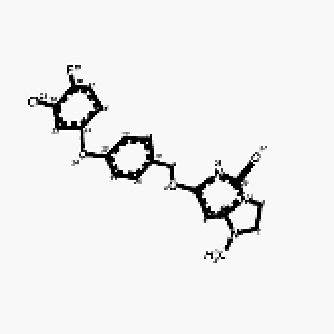 CN1CCn2c1cc(OCc1ccc(Oc3ccc(F)c(Cl)c3)cc1)nc2=O